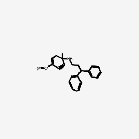 CCOC1=CCC(C)(NCCC(c2ccccc2)c2ccccc2)C=C1